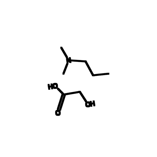 CCCN(C)C.O=C(O)CO